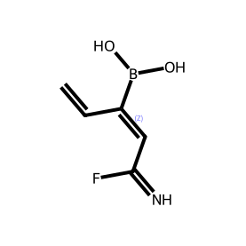 C=C/C(=C\C(=N)F)B(O)O